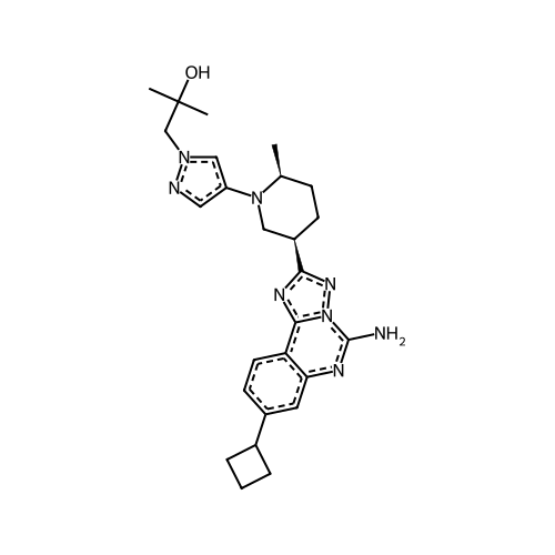 C[C@H]1CC[C@@H](c2nc3c4ccc(C5CCC5)cc4nc(N)n3n2)CN1c1cnn(CC(C)(C)O)c1